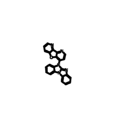 c1ccc2c(c1)nc1n(-c3ccnc4c3oc3cccnc34)c3ccccc3n21